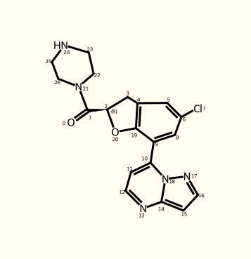 O=C([C@H]1Cc2cc(Cl)cc(-c3ccnc4ccnn34)c2O1)N1CCNCC1